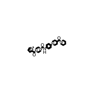 Cn1cccc1C(=O)N1CCN(C(=O)Nc2ccc(N3CCC(C(=O)N4CCCCC4)CC3)cc2)CC1